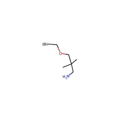 CC(C)(C)COCC(C)(C)CN